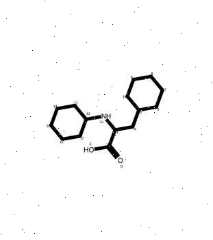 O=C(O)C(CC1CCCCC1)NC1CCCCC1